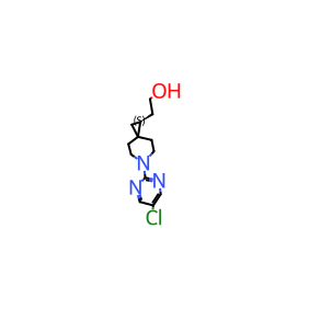 OCC[C@@H]1CC12CCN(c1ncc(Cl)cn1)CC2